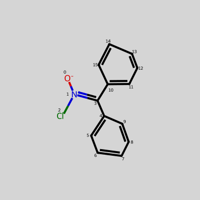 [O-][N+](Cl)=C(c1ccccc1)c1ccccc1